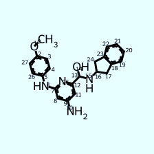 COc1ccc(Nc2cc(N)cc(C(O)NC3Cc4ccccc4C3)n2)cc1